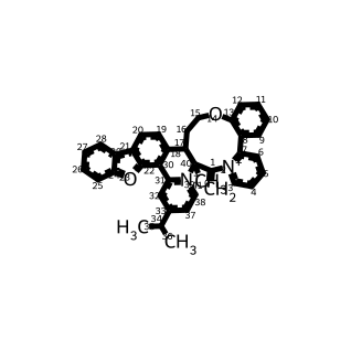 C=C1[n+]2ccccc2-c2ccccc2OCCC2c3ccc4c(oc5ccccc54)c3-c3cc(C(C)C)cc[n+]3C12C